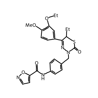 CCOc1cc(C2=NN(Cc3ccc(NC(=O)c4ccno4)cc3)C(=O)SC2CC)ccc1OC